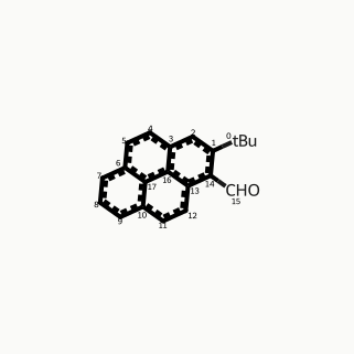 CC(C)(C)c1cc2ccc3cccc4ccc(c1C=O)c2c34